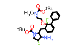 CN(CCOC1(F)C(c2ccccc2)=CC=CC1CC1C(N)C(F)CN1C(=O)OC(C)(C)C)C(=O)OC(C)(C)C